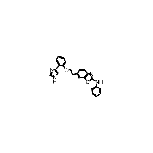 c1ccc(Nc2nc3ccc(CCOc4ccccc4-c4c[nH]cn4)cc3o2)cc1